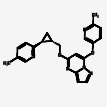 Cc1ccc([C@H]2C[C@@H]2COc2cc(Oc3ccc(C)nc3)n3nccc3n2)nc1